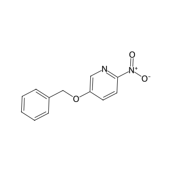 O=[N+]([O-])c1ccc(OCc2ccccc2)cn1